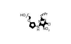 CCCSc1nc(Cl)c([N+](=O)[O-])c(N[C@@H]2C=C[C@@H](OCC(=O)O)C2)n1